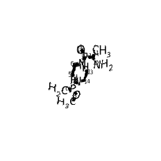 C=[PH](OC)N1CCN([PH](=O)C(C)N)CC1